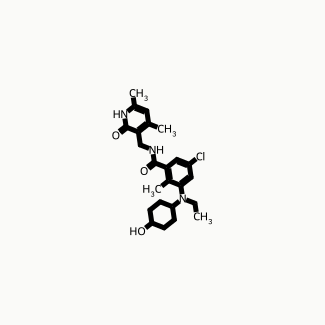 CCN(c1cc(Cl)cc(C(=O)NCc2c(C)cc(C)[nH]c2=O)c1C)C1CCC(O)CC1